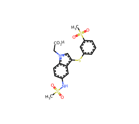 CS(=O)(=O)Nc1ccc2c(c1)c(Sc1cccc(S(C)(=O)=O)c1)cn2CC(=O)O